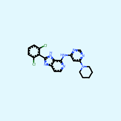 Clc1cccc(Cl)c1-c1nc2ccnc(Nc3cc(N4CCCCC4)ncn3)c2[nH]1